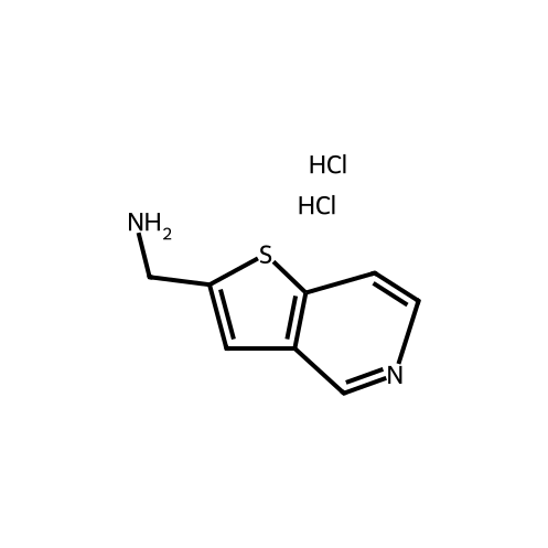 Cl.Cl.NCc1cc2cnccc2s1